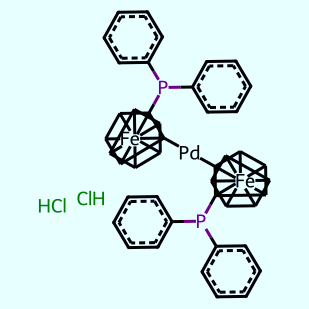 Cl.Cl.c1ccc(P(c2ccccc2)[C]23[CH]4[CH]5[CH]6[C]2([Pd][C]27[CH]8[CH]9[CH]%10[C]2(P(c2ccccc2)c2ccccc2)[Fe]98%1072%11%12%13[CH]7[CH]2[CH]%11[CH]%12[CH]7%13)[Fe]56432789[CH]3[CH]2[CH]7[CH]8[CH]39)cc1